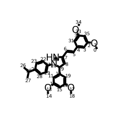 COc1cc(C=CC2=CC(c3cc(OC)cc(OC)c3)N(c3ccc(C(C)C)cc3)N2)cc(OC)c1